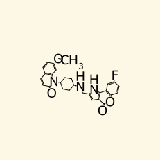 COc1ccc2ccc(=O)n([C@H]3CC[C@H](NCc4cc5c(=O)oc6ccc(F)cc6c5[nH]4)CC3)c2c1